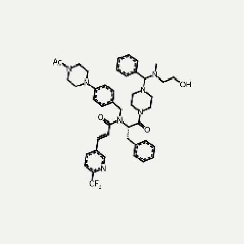 CC(=O)N1CCN(c2ccc(CN(C(=O)C=Cc3ccc(C(F)(F)F)nc3)[C@@H](Cc3ccccc3)C(=O)N3CCN(C(c4ccccc4)N(C)CCO)CC3)cc2)CC1